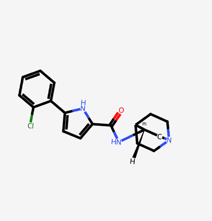 O=C(N[C@H]1CN2CCC1CC2)c1ccc(-c2ccccc2Cl)[nH]1